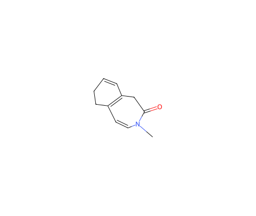 CN1C=CC2=C(C=CCC2)CC1=O